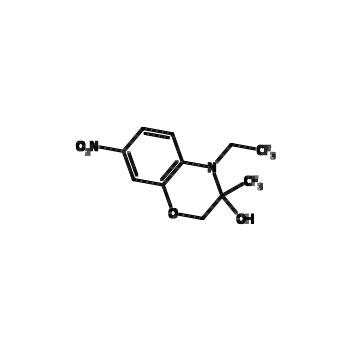 O=[N+]([O-])c1ccc2c(c1)OCC(O)(C(F)(F)F)N2CC(F)(F)F